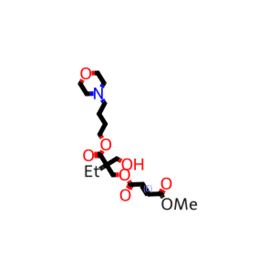 CCC(CO)(COC(=O)/C=C/C(=O)OC)C(=O)OCCCCN1CCOCC1